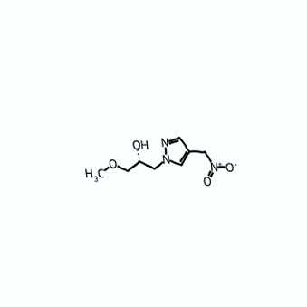 COC[C@H](O)Cn1cc(C[N+](=O)[O-])cn1